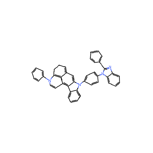 C1=CN(c2ccccc2)C2=c3c1c1c4ccccc4n(-c4ccc(-n5c(-c6ccccc6)nc6ccccc65)cc4)c1cc3=CCC2